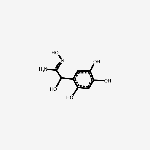 NC(=NO)C(O)c1cc(O)c(O)cc1O